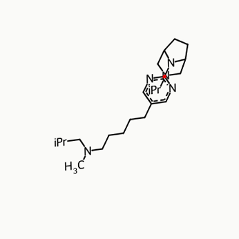 CC(C)CN(C)CCCCCc1cnc(N2C3CCC2CN(C(C)C)C3)nc1